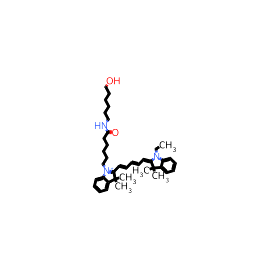 CCN1/C(=C/C=C/C=C/C2=[N+](CCCCCC(=O)NCCCCCCO)c3ccccc3C2(C)C)C(C)(C)c2ccccc21